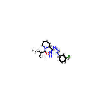 CC(C)C(=O)N1CCCCC1C(=N)/N=N\Nc1cccc(Br)c1